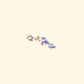 N[C@@H](CC(=O)OCc1ccccc1)C(=O)NCCc1c[nH]cn1